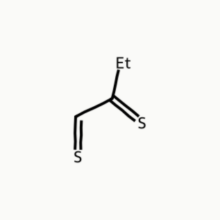 CCC(=S)C=S